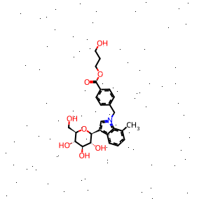 Cc1cccc2c([C@@H]3O[C@H](CO)[C@@H](O)[C@H](O)[C@H]3O)cn(Cc3ccc(C(=O)OCCCO)cc3)c12